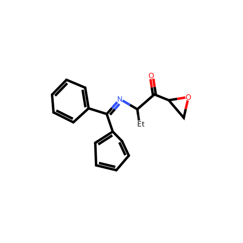 CCC(N=C(c1ccccc1)c1ccccc1)C(=O)C1CO1